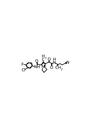 C=C(CCC#N)NC(=O)C(=O)c1c(C)c(C(=O)Nc2ccc(F)c(Cl)c2)n2c1CCC2